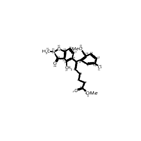 COC(=O)CCCC=C(c1cc(Cl)ccc1OC)c1ccc2on(C)c(=O)c2c1C